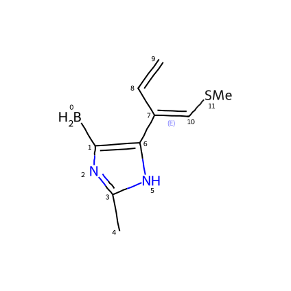 Bc1nc(C)[nH]c1/C(C=C)=C/SC